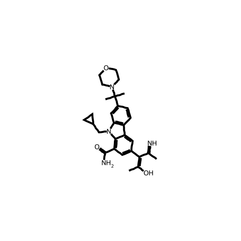 CC(=N)/C(=C(/C)O)c1cc(C(N)=O)c2c(c1)c1ccc(C(C)(C)N3CCOCC3)cc1n2CC1CC1